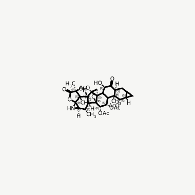 CC(=O)O[C@H]1C2C([C@@H](O)C(=O)[C@H]3CC4C[C@@H]4[C@H](OC(C)=O)[C@]23C)[C@]23C[C@]2(OC(C)=O)[C@@H]2[C@H]([C@H](C)[C@H]4N[C@]45OC(=O)[C@@](C)(O)[C@]25C)[C@@]3(C)[C@H]1OC(C)=O